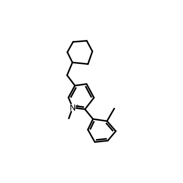 Cc1ccccc1-c1ccc(CC2CCCCC2)c[n+]1C